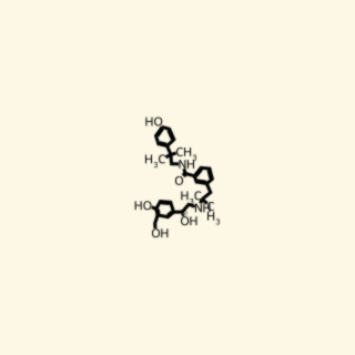 CC(C)(Cc1cccc(C(=O)NCC(C)(C)c2ccc(O)cc2)c1)NC[C@@H](O)c1ccc(O)c(CO)c1